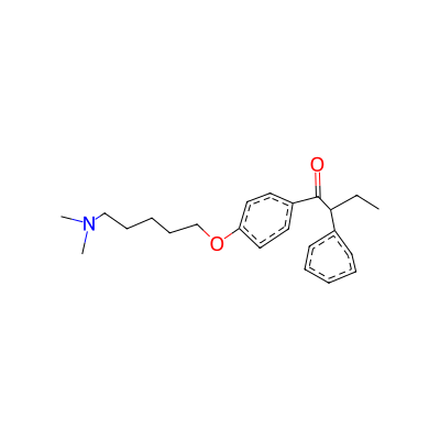 CCC(C(=O)c1ccc(OCCCCCN(C)C)cc1)c1ccccc1